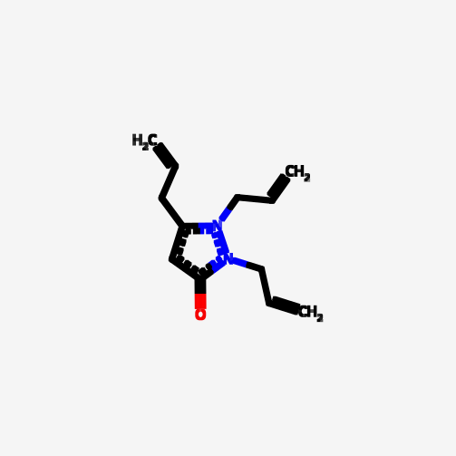 C=CCc1cc(=O)n(CC=C)n1CC=C